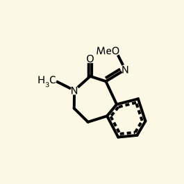 CO/N=C1\C(=O)N(C)CCc2ccccc21